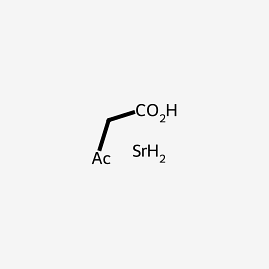 CC(=O)CC(=O)O.[SrH2]